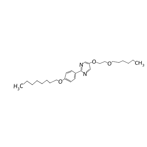 CCCCCCCCOc1ccc(-c2ncc(OCCOCCCCCC)cn2)cc1